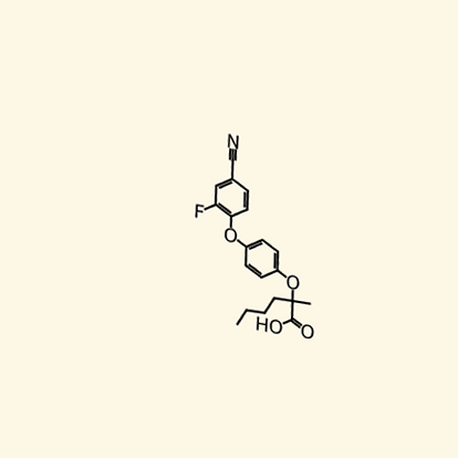 CCCCC(C)(Oc1ccc(Oc2ccc(C#N)cc2F)cc1)C(=O)O